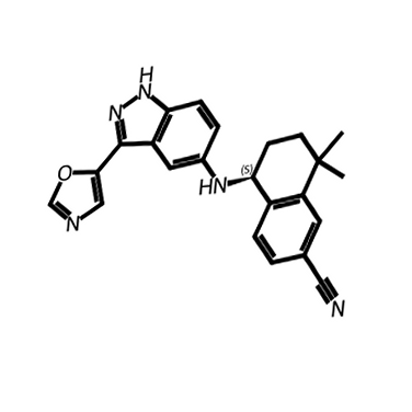 CC1(C)CC[C@H](Nc2ccc3[nH]nc(-c4cnco4)c3c2)c2ccc(C#N)cc21